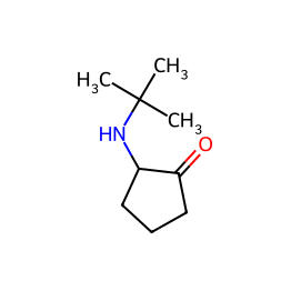 CC(C)(C)NC1CCCC1=O